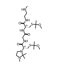 CNCCNC(=O)[C@H](CSC(C)(C)OC)NC(=O)CNC(=O)[C@H](CSC(C)(C)OC)N1CCN(C)C1(C)C